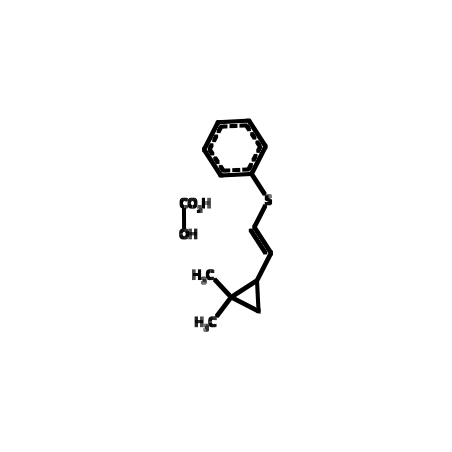 CC1(C)CC1C=CSc1ccccc1.O=C(O)O